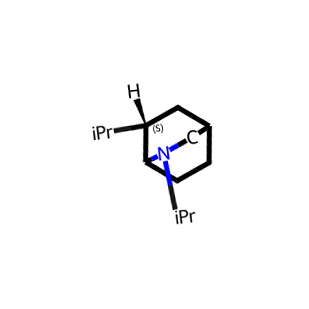 CC(C)[C@@H]1CC2CCC1N(C(C)C)C2